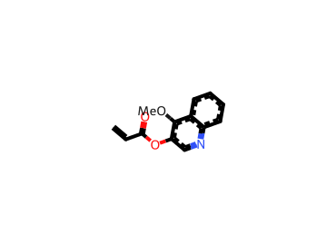 C=CC(=O)Oc1cnc2ccccc2c1OC